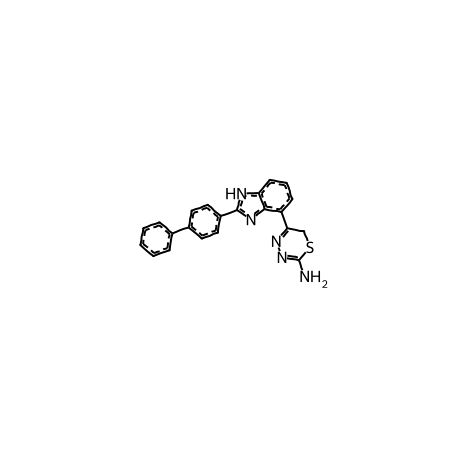 NC1=NN=C(c2cccc3[nH]c(-c4ccc(-c5ccccc5)cc4)nc23)CS1